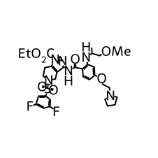 CCOC(=O)n1nc(NC(=O)c2ccc(OCCN3CCCC3)cc2NC(C)COC)c2c1CCN(S(=O)(=O)c1cc(F)cc(F)c1)C2